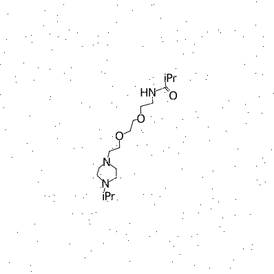 CC(C)C(=O)NCCOCCOCCN1CCN(C(C)C)CC1